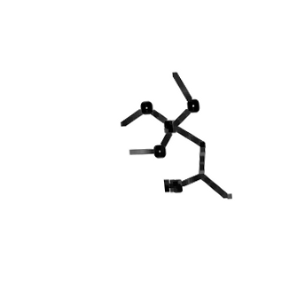 [CH2]C(S)C[Si](OC)(OC)OC